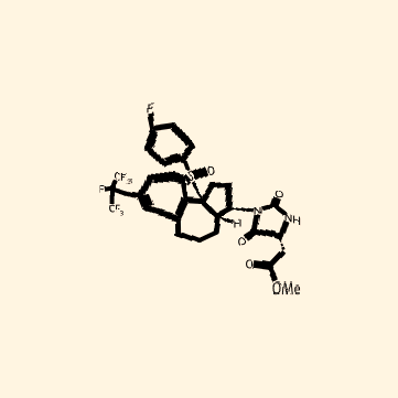 COC(=O)C[C@H]1NC(=O)N([C@@H]2CC[C@@]3(S(=O)(=O)c4ccc(F)cc4)c4ccc(C(F)(C(F)(F)F)C(F)(F)F)cc4CCC[C@@H]23)C1=O